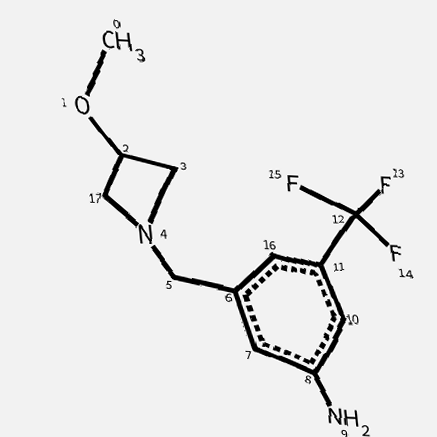 COC1CN(Cc2cc(N)cc(C(F)(F)F)c2)C1